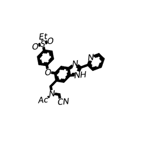 CCS(=O)(=O)c1ccc(Oc2cc3nc(-c4ccccn4)[nH]c3cc2CN(CC#N)C(C)=O)cc1